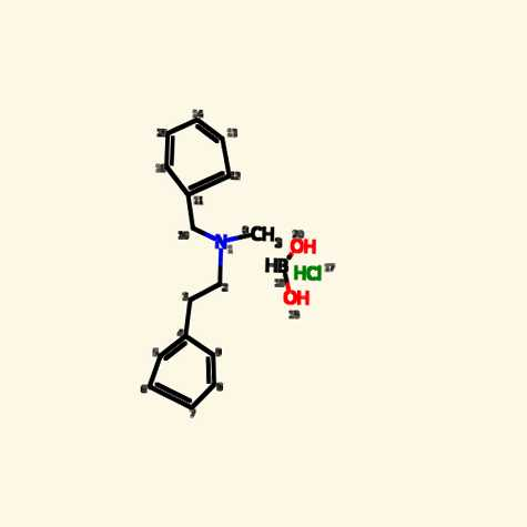 CN(CCc1ccccc1)Cc1ccccc1.Cl.OBO